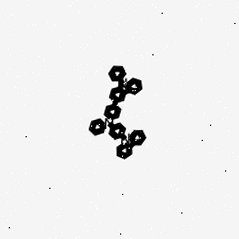 c1ccc(N(c2ccc(-c3ccc4c(c3)c3ccccc3n4-c3ccccc3)cc2)c2ccc(-n3c4ccccc4c4ccccc43)cc2)cc1